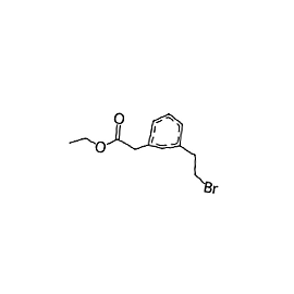 CCOC(=O)Cc1cccc(CCBr)c1